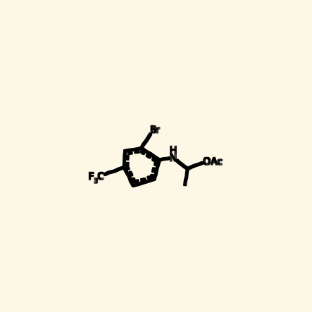 CC(=O)OC(C)Nc1ccc(C(F)(F)F)cc1Br